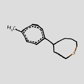 Cc1ccc(C2CCSCC2)cc1